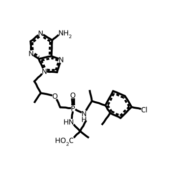 Cc1cc(Cl)ccc1C(C)NP(=O)(COC(C)Cn1cnc2c(N)ncnc21)NC(C)(C)C(=O)O